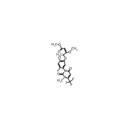 COC(=O)/C=C(/OC)C(C)Oc1cc(-n2c(=O)cc(C(F)(F)F)n(C)c2=O)c(F)cc1Cl